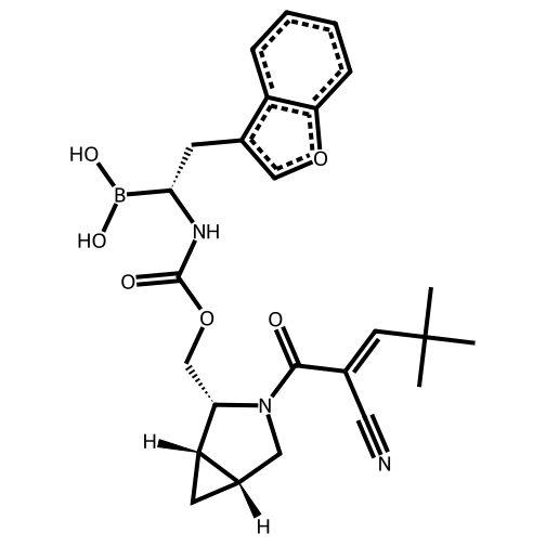 CC(C)(C)/C=C(\C#N)C(=O)N1C[C@@H]2C[C@@H]2[C@@H]1COC(=O)N[C@@H](Cc1coc2ccccc12)B(O)O